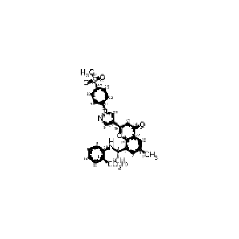 Cc1cc([C@@H](C)Nc2ccccc2C(=O)O)c2oc(-c3cnn(-c4ccc(S(C)(=O)=O)cc4)c3)cc(=O)c2c1